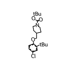 CC(C)(C)OC(=O)N1CCC(COc2ccc(Cl)cc2C(C)(C)C)CC1